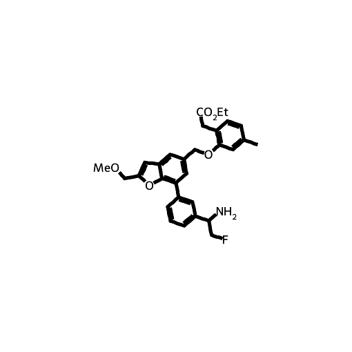 CCOC(=O)Cc1ccc(C)cc1OCc1cc(-c2cccc(C(N)CF)c2)c2oc(COC)cc2c1